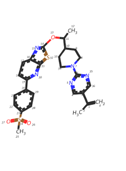 C=C(C)c1cnc(N2CCC(C(C)Oc3nc4ccc(-c5ccc(S(C)(=O)=O)cc5)nc4s3)CC2)nc1